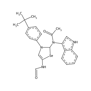 CC(=O)N(c1c[nH]c2ccccc12)C1[Se]C(NC=O)=CN1c1ccc(C(C)(C)C)cc1